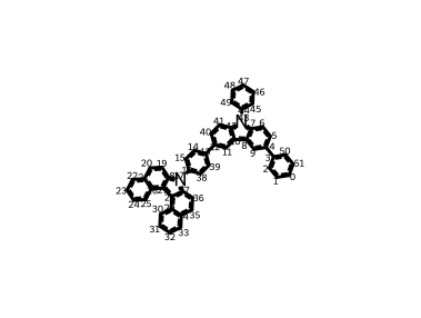 c1ccc(-c2ccc3c(c2)c2cc(-c4ccc(-n5c6ccc7ccccc7c6c6c7ccccc7ccc65)cc4)ccc2n3-c2ccccc2)cc1